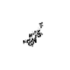 CCCC(C)(C[C@H](C)CC(C)(C)C(C)C)NC(=O)CCCN(C)[C@H]1C[C@@H](C)O[C@@H](O)[C@@H]1O